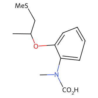 CSCC(C)Oc1ccccc1N(C)C(=O)O